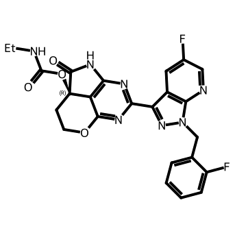 CCNC(=O)O[C@]12CCOc3nc(-c4nn(Cc5ccccc5F)c5ncc(F)cc45)nc(c31)NC2=O